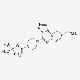 CCc1ccc2nc(N3CCN(C(=O)OC(C)(C)C)CC3)c3nncn3c2c1